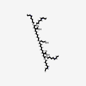 CC/C=C\CCCCOC(CC(CCCCCCCN(CCCO)CCCCCCCC(CC(OCCCC/C=C\CC)OCCCC/C=C\CC)C(=O)O)C(=O)O)OCCCC/C=C\CC